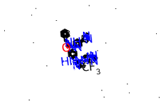 Cn1cc(-c2ccc(N(C(=O)NCc3ccccc3)[C@H]3CC[C@H](Nc4ncc(C(F)(F)F)c(N5CCn6ncnc6C5)n4)CC3)nc2)cn1